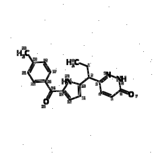 CCC(c1ccc(=O)[nH]n1)c1ccc(C(=O)c2ccc(C)cc2)[nH]1